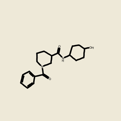 O=C(NC1CCC(O)CC1)C1CCCN(C(=O)c2ccccc2)C1